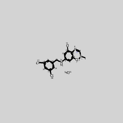 CN(C)/C=N\c1c(Cl)cc(NCc2cc(Cl)cc(Cl)c2)cc1Cl.Cl